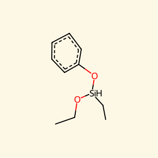 CCO[SiH](CC)Oc1ccccc1